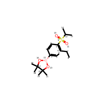 C\C=C(/C=C\C(=C\CC)S(=O)(=O)C(C)C)B1OC(C)(C)C(C)(C)O1